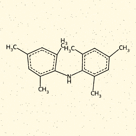 Cc1cc(C)c(Nc2c(C)cc(C)cc2C)c(C)c1